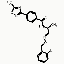 CC(C=NOCc1ccccc1Cl)NC(=O)c1ccc(-c2noc(C(F)(F)F)n2)cc1